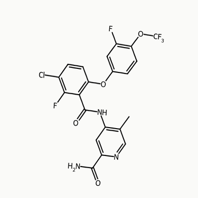 Cc1cnc(C(N)=O)cc1NC(=O)c1c(Oc2ccc(OC(F)(F)F)c(F)c2)ccc(Cl)c1F